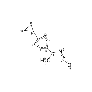 CC(N=C=O)c1ccc(C2CC2)cc1